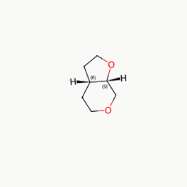 C1C[C@@H]2CCO[C@@H]2CO1